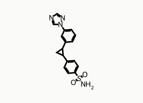 NS(=O)(=O)c1ccc(C2CC2c2cccc(-n3cncn3)c2)cc1